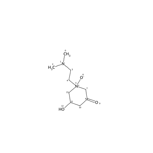 CN(C)CC[N+]1([O-])CC(=O)CC(O)C1